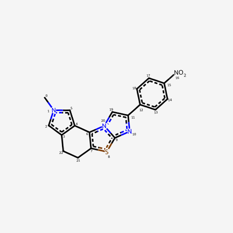 Cn1cc2c(c1)-c1c(sc3nc(-c4ccc([N+](=O)[O-])cc4)cn13)CC2